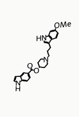 COc1ccc2c(CCCN3CCC(OC(=O)c4ccc5[nH]ccc5c4)CC3)c[nH]c2c1